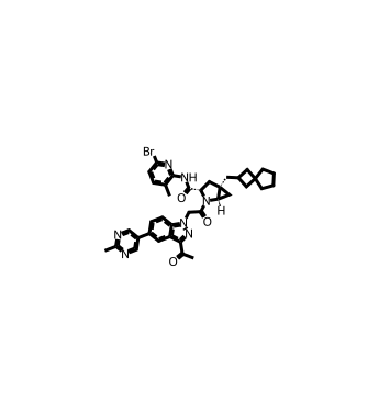 CC(=O)c1nn(CC(=O)N2[C@H](C(=O)Nc3nc(Br)ccc3C)C[C@@]3(CC4CC5(CCCC5)C4)C[C@@H]23)c2ccc(-c3cnc(C)nc3)cc12